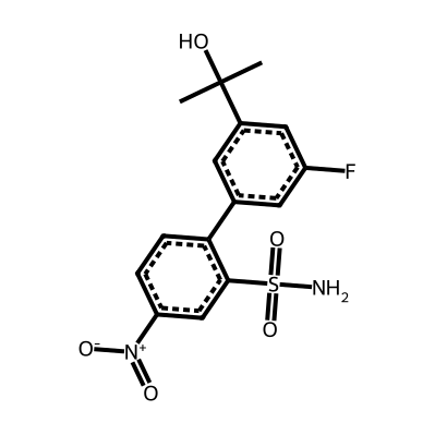 CC(C)(O)c1cc(F)cc(-c2ccc([N+](=O)[O-])cc2S(N)(=O)=O)c1